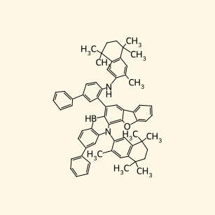 Cc1cc2c(cc1Nc1ccc(-c3ccccc3)cc1-c1cc3c(oc4ccccc43)c3c1Bc1ccc(-c4ccccc4)cc1N3c1cc3c(cc1C)C(C)(C)CCC3(C)C)C(C)(C)CCC2(C)C